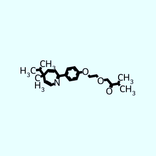 CC(C)C(=O)COCCOc1ccc(C2=NC=CC(C)(C(C)C)C=C2)cc1